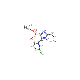 CCOC(=O)c1nc2n(c1-c1cccc(Cl)n1)CCCC2